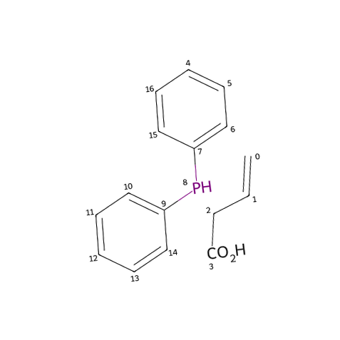 C=CCC(=O)O.c1ccc(Pc2ccccc2)cc1